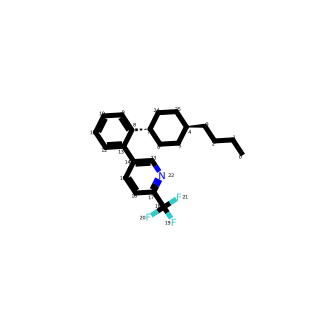 CCCC[C@H]1CC[C@H](c2ccccc2-c2ccc(C(F)(F)F)nc2)CC1